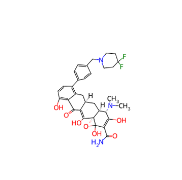 CN(C)[C@@H]1C(O)=C(C(N)=O)C2(O)O[C@@]23C(O)=C2C(=O)c4c(O)ccc(-c5ccc(CN6CCC(F)(F)CC6)cc5)c4C[C@H]2C[C@@H]13